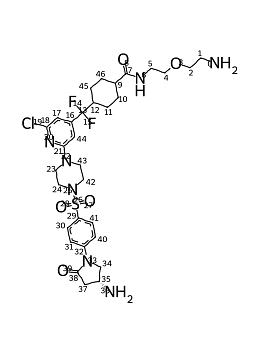 NCCOCCNC(=O)C1CCC(C(F)(F)c2cc(Cl)nc(N3CCN(S(=O)(=O)c4ccc(N5C[C@H](N)CC5=O)cc4)CC3)c2)CC1